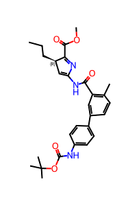 CCC[C@@H]1C=C(NC(=O)c2cc(-c3ccc(NC(=O)OC(C)(C)C)cc3)ccc2C)N=C1C(=O)OC